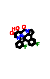 O=C1c2c(O)c(=O)cnn2[C@H]2[C@H](c3ccccc3F)c3ccc(F)cc3C3CCN1[C@H]32